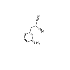 C=C1C=CSC(CC(C#N)C#N)=C1